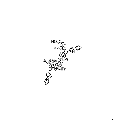 CN[C@@H](CC1CC1)C(=O)O[C@H](CCc1ccc(N2CCOCC2)nc1)C(=O)N(C)[C@@H](CC(C)C)C(=O)O[C@H](C)C(=O)N(C)[C@@H](CC1CC1)C(=O)O[C@H](CCc1ccc(N2CCOCC2)nc1)C(=O)N(C)[C@@H](CCC(C)C)C(=O)O[C@H](C)C(=O)O